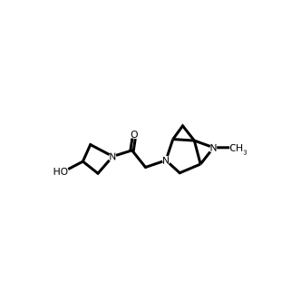 CN1C2CN(CC(=O)N3CC(O)C3)C3CC321